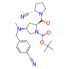 CN(Cc1ccc(C#N)cc1)[C@H]1C[C@@H](C(=O)N2CCC[C@H]2C#N)N(C(=O)OC(C)(C)C)C1